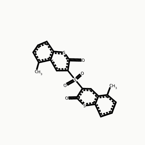 Cc1cccc2sc(=O)c(S(=O)(=O)c3cc4c(C)cccc4sc3=O)cc12